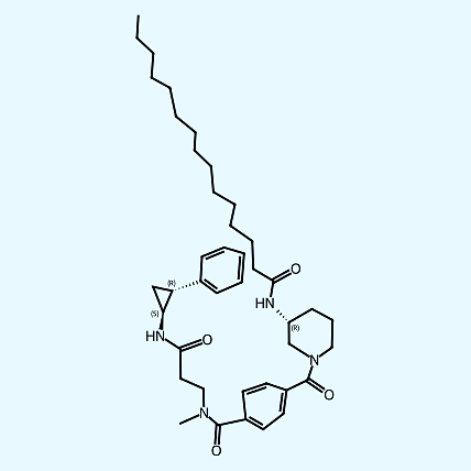 CCCCCCCCCCCCCCC(=O)N[C@@H]1CCCN(C(=O)c2ccc(C(=O)N(C)CCC(=O)N[C@H]3C[C@@H]3c3ccccc3)cc2)C1